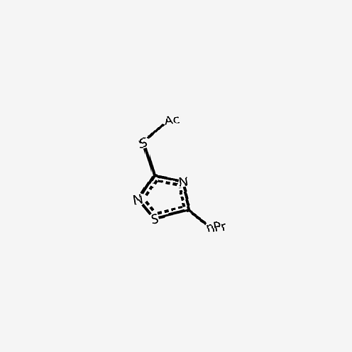 CCCc1nc(SC(C)=O)ns1